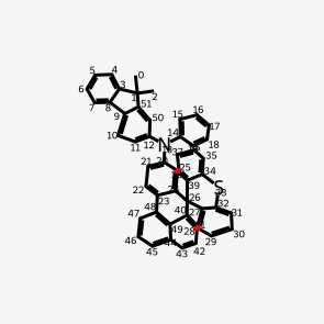 CC1(C)c2ccccc2-c2ccc(N(c3ccccc3)c3ccc4c(c3)C3(c5ccccc5Sc5ccccc53)c3cccc5cccc-4c35)cc21